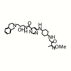 CO/N=C(/C)C(=O)CNC1CCC(Nc2cc(C(=O)NC[C@H](O)CN3CCc4ccccc4C3)ncn2)CC1